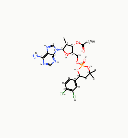 COC(=O)O[C@H]1[C@H](C)[C@H](n2cnc3c(N)ncnc32)O[C@@H]1COP1(=O)OC(c2ccc(Cl)c(Cl)c2)CC(C)(C)O1